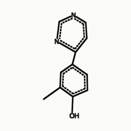 Cc1cc(-c2ccncn2)ccc1O